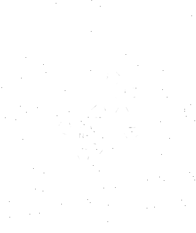 c1ccc(-c2cc(-c3cccc(-c4nc(-c5ccccc5)nc(-c5cccc6ccccc56)n4)c3)c3sc4c(-c5ccccc5)cccc4c3c2)cc1